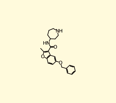 Cc1oc2ccc(OCc3ccccc3)cc2c1C(=O)NC1CCCNCC1